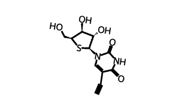 C#Cc1cn([C@H]2S[C@@H](CO)[C@@H](O)[C@@H]2O)c(=O)[nH]c1=O